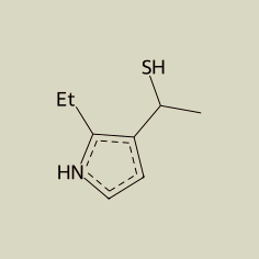 CCc1[nH]ccc1C(C)S